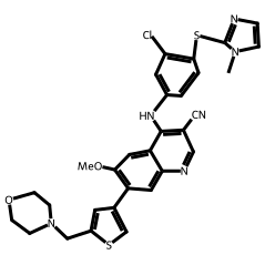 COc1cc2c(Nc3ccc(Sc4nccn4C)c(Cl)c3)c(C#N)cnc2cc1-c1csc(CN2CCOCC2)c1